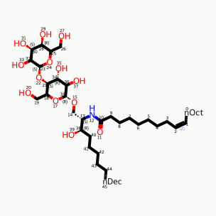 CCCCCCCC/C=C\CCCCCCCC(=O)N[C@@H](CO[C@@H]1OC(CO)[C@@H](O[C@@H]2OC(CO)[C@H](O)[C@H](O)C2O)[C@H](O)C1O)[C@H](O)CCCCCCCCCCCCCCC